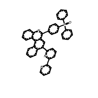 O=P(c1ccccc1)(c1ccccc1)c1ccc(-c2nc3ccccc3c3c2cc(-c2cccc(-c4ccccn4)n2)c2ccccc23)cc1